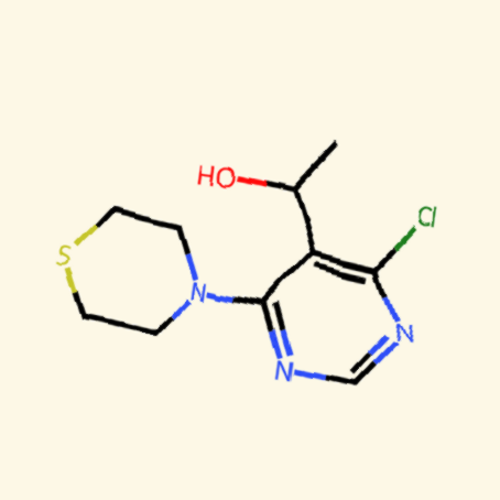 CC(O)c1c(Cl)ncnc1N1CCSCC1